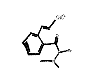 CCN(C(=O)c1ccccc1/C=C/[C]=O)N(C)C